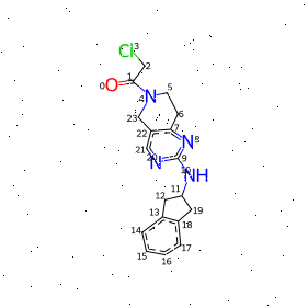 O=C(CCl)N1CCc2nc(NC3Cc4ccccc4C3)ncc2C1